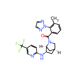 Cc1cccc(C(=O)N2C[C@H]3C[C@@H](Nc4ccc(C(F)(F)F)cn4)[C@@H]2C3)c1-n1nccn1